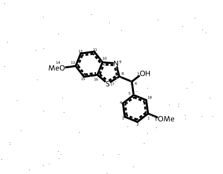 COc1cccc(C(O)c2nc3ccc(OC)cc3s2)c1